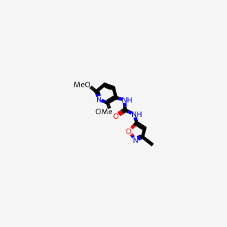 COc1ccc(NC(=O)Nc2cc(C)no2)c(OC)n1